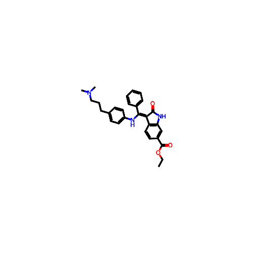 CCOC(=O)c1ccc2c(c1)NC(=O)C2=C(Nc1ccc(CCCN(C)C)cc1)c1ccccc1